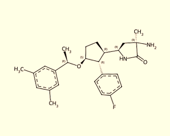 Cc1cc(C)cc([C@@H](C)O[C@H]2CC[C@@H]([C@H]3C[C@@](C)(N)C(=O)N3)[C@@H]2c2ccc(F)cc2)c1